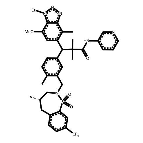 CCn1nnc2c(C)c([C@H](c3ccc(C)c(CN4C[C@@H](C)Cc5ccc(C(F)(F)F)cc5S4(=O)=O)c3)C(C)(C)C(=O)Nc3cccnc3)cc(OC)c21